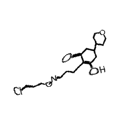 O=C1CC(C2CCOCC2)CC(O)=C1CCC=NOCC=CCl